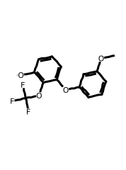 COc1cccc(Oc2cccc([O])c2OC(F)(F)F)c1